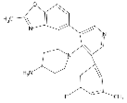 Cc1cc(F)cc(-c2cncc(-c3ccc4oc(C)nc4c3)c2N2CCC(N)CC2)c1